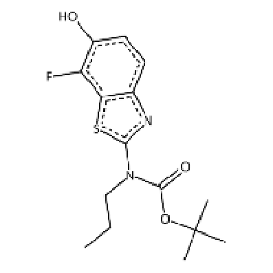 CCCN(C(=O)OC(C)(C)C)c1nc2ccc(O)c(F)c2s1